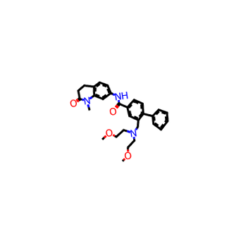 COCCN(CCOC)Cc1cc(C(=O)Nc2ccc3c(c2)N(C)C(=O)CC3)ccc1-c1ccccc1